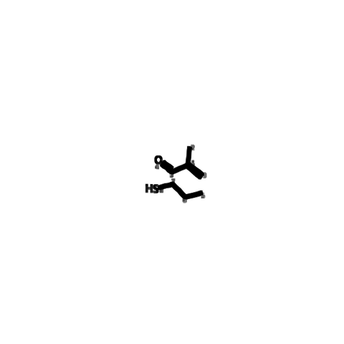 C=C(C)C=O.CCCS